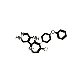 ClC1=CC[N+]=c2c3c([nH]c2=C1[C@H]1CC[C@H](Oc2ccccc2)CC1)C=NNC3